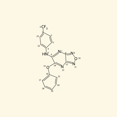 FC(F)(F)c1ccc(Nc2nc3nonc3nc2Oc2ccccc2)cc1